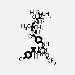 CN(C)C(=O)C(=O)NCC(C)(C)CNC(=O)c1ccc(Nc2nc(NC3(c4ccc(Cl)cc4)CC3)nc(OCC(F)(F)F)n2)cc1